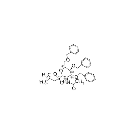 C=C(C)CS(=O)(=O)C1O[C@H](COCc2ccccc2)[C@@H](OCc2ccccc2)[C@H](OCc2ccccc2)[C@H]1NC(C)=O